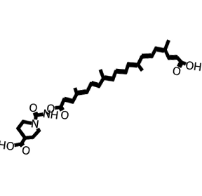 CC(=C/C=C/C(C)=C/C=C/C=C(C)/C=C/C=C(C)/C=C/C(=O)ONC(=O)N1CCC(C(=O)O)CC1)/C=C/C(=O)O